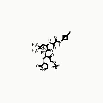 CC(C)(C)CC(NC(=O)C(=O)NC12CC(F)(C1)C2)C(=O)NC(C[C@@H]1CCNC1=O)C(=O)COC(F)(F)F